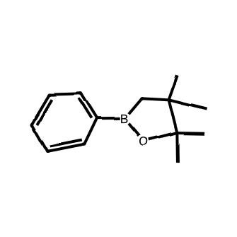 CC1(C)CB(c2ccccc2)OC1(C)C